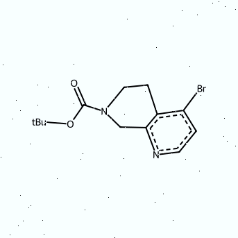 CC(C)(C)OC(=O)N1CCc2c(Br)ccnc2C1